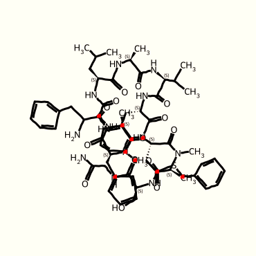 CC(C)C[C@H](NC(=O)CNC(=O)[C@H](Cc1ccccc1)N(C)C(=O)[C@H](C)NC(=O)C(N)Cc1ccccc1)C(=O)N[C@@H](C)C(=O)N[C@H](C(=O)N[C@@H](Cc1ccccc1)C(=O)N[C@@H](CC(=O)SCc1ccccc1)C(=O)N(C)[C@@H](C)C(=O)N[C@@H](CO)C(=O)NCC(N)=O)C(C)C